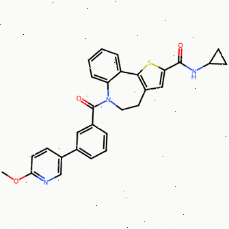 COc1ccc(-c2cccc(C(=O)N3CCc4cc(C(=O)NC5CC5)sc4-c4ccccc43)c2)cn1